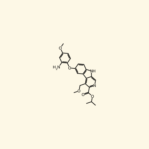 COCc1c(C(=O)OC(C)C)ncc2[nH]c3ccc(Oc4ccc(OC)cc4N)cc3c12